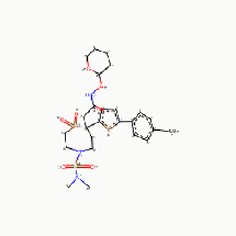 CSc1ccc(-c2ccc(C3(CC(=O)NOC4CCCCO4)CCN(S(=O)(=O)N(C)C)CCS3(=O)=O)s2)cc1